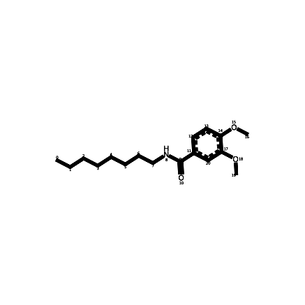 CCCCCCCCNC(=O)c1ccc(OC)c(OC)c1